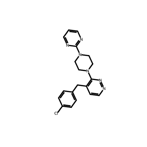 Clc1ccc(Cc2ccnnc2N2CCN(c3ncccn3)CC2)cc1